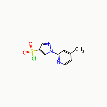 Cc1ccnc(-n2cc(S(=O)(=O)Cl)cn2)c1